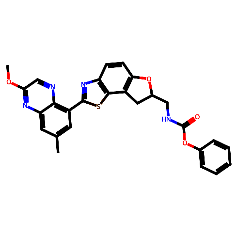 COc1cnc2c(-c3nc4ccc5c(c4s3)CC(CNC(=O)Oc3ccccc3)O5)cc(C)cc2n1